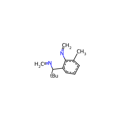 C=Nc1c(C)cccc1C(N=C)C(C)(C)C